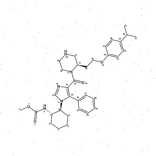 COC(=O)N[C@H]1CCCC[C@@H]1n1cnc(C(=O)N2CCNC[C@H]2CCOc2ccc(C(C)C)cc2)c1-c1ccccc1